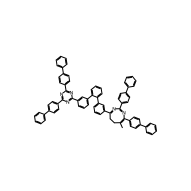 C/C1=C(c2ccc(-c3ccccc3)cc2)/N=C(c2ccc(-c3ccccc3)cc2)\N=C(\c2cccc(-c3ccccc3-c3cccc(-c4nc(-c5ccc(-c6ccccc6)cc5)nc(-c5ccc(-c6ccccc6)cc5)n4)c3)c2)CC1